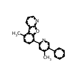 Cc1cc(-c2ccc(C)c3c2oc2ncccc23)ncc1-c1ccccc1